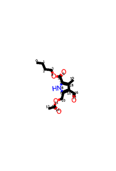 CCCCOC(=O)c1[nH]c(COC(C)=O)c(C=O)c1C